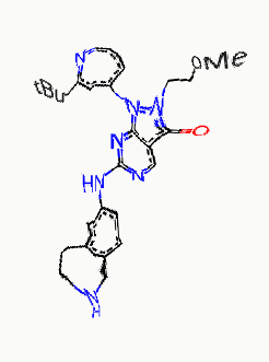 COCCn1c(=O)c2cnc(Nc3ccc4c(c3)CCNC4)nc2n1-c1ccnc(C(C)(C)C)c1